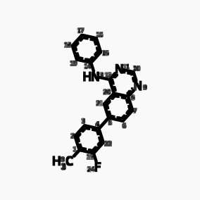 Cc1ccc(-c2ccc3ncnc(Nc4ccccc4)c3c2)cc1F